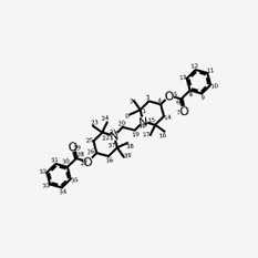 CC1(C)CC(OC(=O)c2ccccc2)CC(C)(C)N1CCN1C(C)(C)CC(OC(=O)c2ccccc2)CC1(C)C